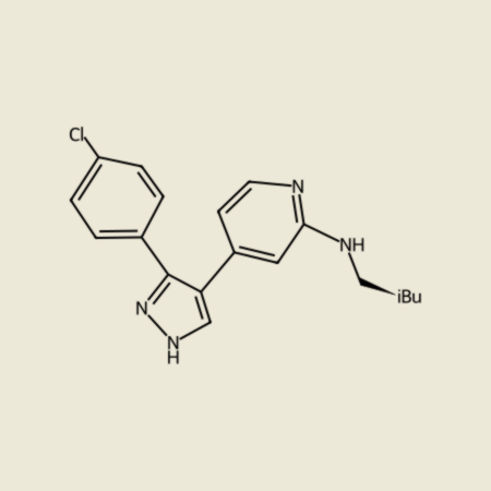 CC[C@H](C)CNc1cc(-c2c[nH]nc2-c2ccc(Cl)cc2)ccn1